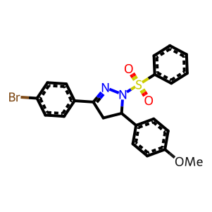 COc1ccc(C2CC(c3ccc(Br)cc3)=NN2S(=O)(=O)c2ccccc2)cc1